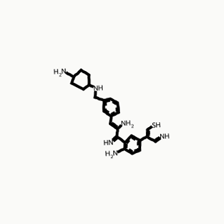 N=C/C(=C\S)c1ccc(N)c(C(=N)/C(N)=C/c2cccc(CNC3CCC(N)CC3)c2)c1